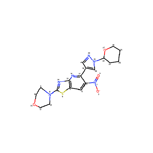 O=[N+]([O-])c1cc2sc(N3CCOCC3)nc2nc1-c1cnn(C2CCCCO2)c1